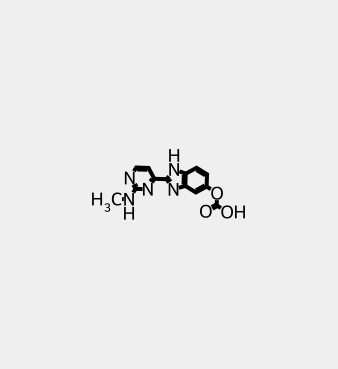 CNc1nccc(-c2nc3cc(OC(=O)O)ccc3[nH]2)n1